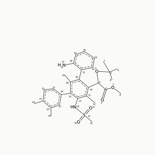 COC(=O)C(OC(C)(C)C)c1c(C)c(NS(C)(=O)=O)c(-c2ccc(C)c(C)c2)c(C)c1-c1ccccc1N